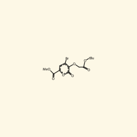 COC(=O)c1cc(Br)c(OCC(=O)OC(C)(C)C)c(=O)o1